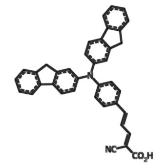 N#C/C(=C\C=C\c1ccc(N(c2ccc3c(c2)Cc2ccccc2-3)c2ccc3c(c2)Cc2ccccc2-3)cc1)C(=O)O